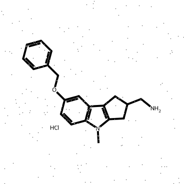 Cl.Cn1c2c(c3cc(OCc4ccccc4)ccc31)CC(CN)C2